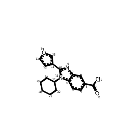 O=C(Cl)c1ccc2c(c1)nc(-c1ccoc1)n2C1CCCCC1